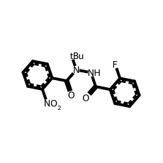 CC(C)(C)N(NC(=O)c1ccccc1F)C(=O)c1ccccc1[N+](=O)[O-]